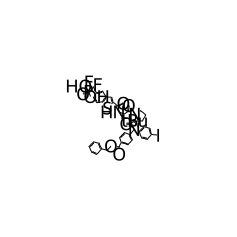 CC(C)(C)C(NC(=O)c1cc2cc(C(F)(F)P(=O)(O)O)ccc2s1)C(=O)N1CCC[C@H]1C(=O)N(c1ccc(I)cc1)c1ccc(C(=O)OCc2ccccc2)cc1